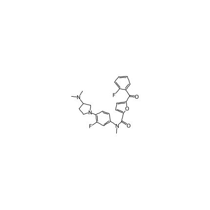 CN(C(=O)c1ccc(C(=O)c2ccccc2F)o1)c1ccc(N2CCC(N(C)C)C2)c(F)c1